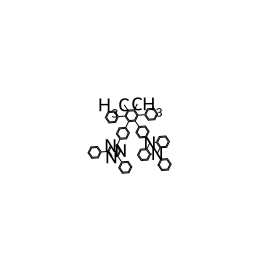 Cc1c(C)c(-c2ccccc2)c(-c2ccc(N3c4ccccc4N(c4ccccc4)c4ccccc43)cc2)c(-c2ccc(-c3nc(-c4ccccc4)nc(-c4ccccc4)n3)cc2)c1-c1ccccc1